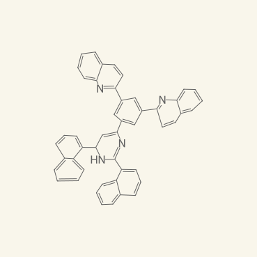 C1=C(c2cc(-c3ccc4ccccc4n3)cc(-c3ccc4ccccc4n3)c2)N=C(c2cccc3ccccc23)NC1c1cccc2ccccc12